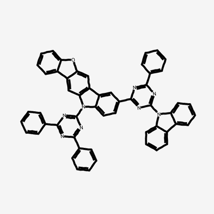 c1ccc(-c2nc(-c3ccc4c(c3)c3cc5oc6ccccc6c5cc3n4-c3nc(-c4ccccc4)nc(-c4ccccc4)n3)nc(-n3c4ccccc4c4ccccc43)n2)cc1